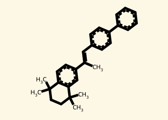 CC(=Cc1ccc(-c2ccccc2)cc1)c1ccc2c(c1)C(C)(C)CCC2(C)C